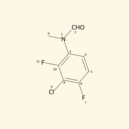 CN(C=O)c1ccc(F)c(Cl)c1F